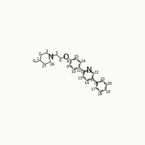 CC1CCN(CCOc2ccc(-c3ccc(-c4ccccc4)cn3)cc2)CC1